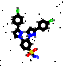 NS(=O)(=O)c1ccc(-n2ccc(-c3ccc(Cl)cc3)n2)c(-n2ccc(-c3ccc(Cl)cc3)n2)c1